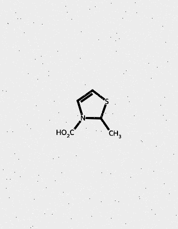 CC1SC=CN1C(=O)O